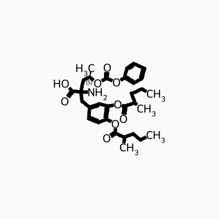 CCCC(C)C(=O)Oc1ccc(CC(N)(C[C@H](C)OC(=O)Oc2ccccc2)C(=O)O)cc1OC(=O)C(C)CCC